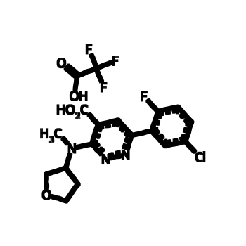 CN(c1nnc(-c2cc(Cl)ccc2F)cc1C(=O)O)C1CCOC1.O=C(O)C(F)(F)F